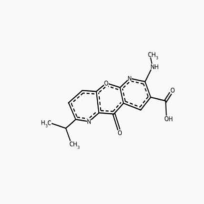 CNc1nc2oc3ccc(C(C)C)nc3c(=O)c2cc1C(=O)O